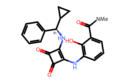 CNC(=O)c1cccc(Nc2c(N[C@@H](c3ccccc3)C3CC3)c(=O)c2=O)c1O